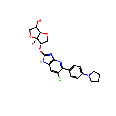 O[C@@H]1CO[C@H]2C1OC[C@H]2Oc1nc2nc(-c3ccc(N4CCCC4)cc3)c(Cl)cc2[nH]1